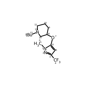 Cn1nc(C(F)(F)F)cc1OC1CCCN(C(C)(C)C)C1